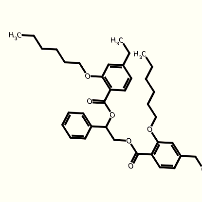 CCCCCCOc1cc(CC)ccc1C(=O)OCC(OC(=O)c1ccc(CC)cc1OCCCCCC)c1ccccc1